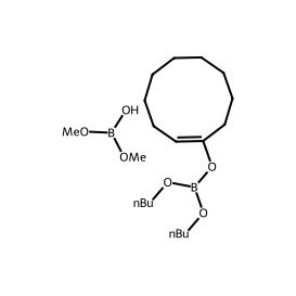 CCCCOB(OCCCC)OC1=CCCCCCCCC1.COB(O)OC